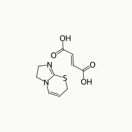 C1=CN2CCN=C2SC1.O=C(O)/C=C/C(=O)O